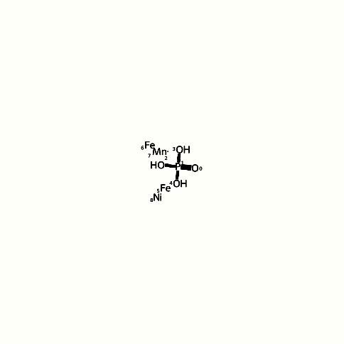 O=P(O)(O)O.[Fe].[Fe].[Mn].[Ni]